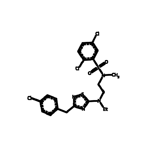 CCN(CCN(C)S(=O)(=O)c1cc(Cl)ccc1Cl)c1nc(Cc2ccc(Cl)cc2)ns1